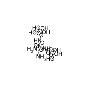 NCCCC[C@@H](C(N)=O)N(CC(=O)NCCO[C@H]1O[C@H](CO)[C@@H](O)[C@H](O)[C@@H]1O)CC(=O)NCCO[C@H]1O[C@H](CO)[C@@H](O)[C@H](O)[C@@H]1O